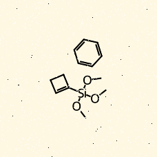 CO[Si](OC)(OC)C1=CCC1.c1ccccc1